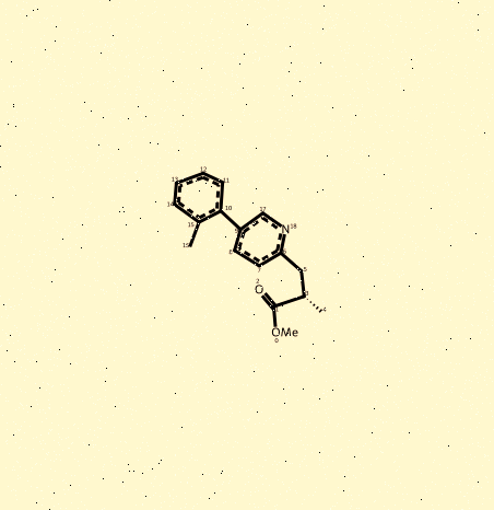 COC(=O)[C@@H](C)Cc1ccc(-c2ccccc2C)cn1